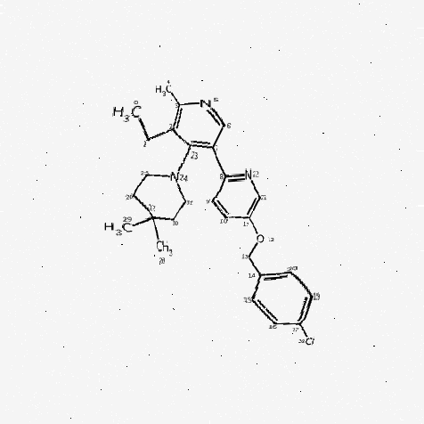 CCc1c(C)ncc(-c2ccc(OCc3ccc(Cl)cc3)cn2)c1N1CCC(C)(C)CC1